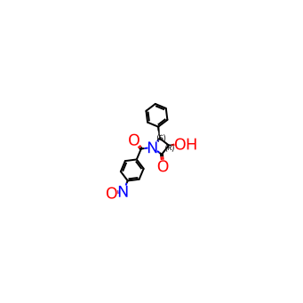 O=Nc1ccc(C(=O)N2C(=O)[C@H](O)[C@@H]2c2ccccc2)cc1